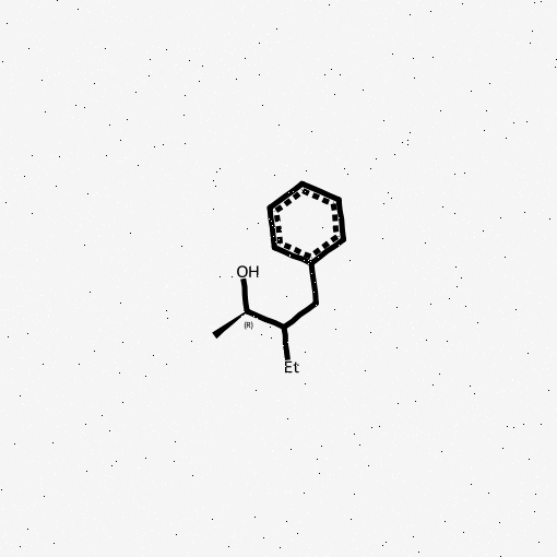 CCC(Cc1ccccc1)[C@@H](C)O